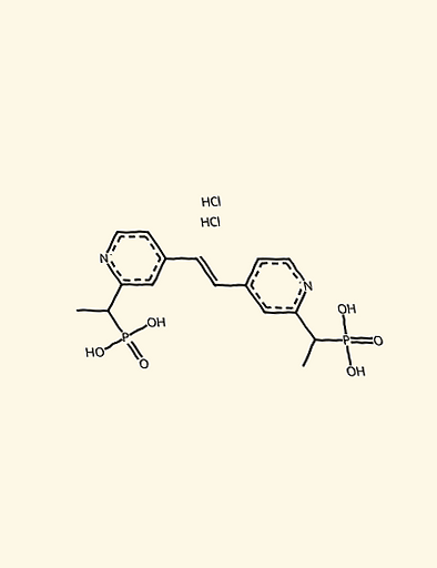 CC(c1cc(C=Cc2ccnc(C(C)P(=O)(O)O)c2)ccn1)P(=O)(O)O.Cl.Cl